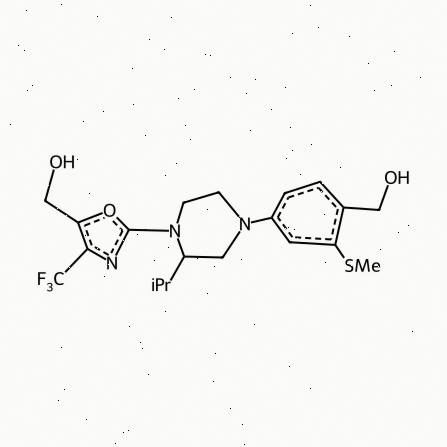 CSc1cc(N2CCN(c3nc(C(F)(F)F)c(CO)o3)C(C(C)C)C2)ccc1CO